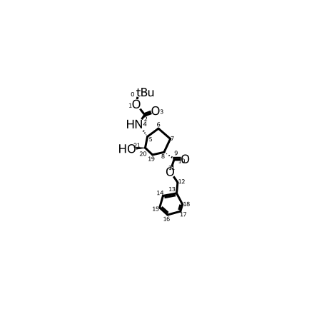 CC(C)(C)OC(=O)N[C@@H]1CC[C@H](C(=O)OCc2ccccc2)C[C@H]1O